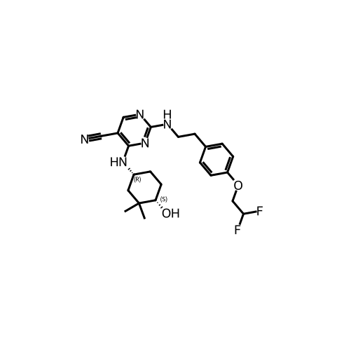 CC1(C)C[C@H](Nc2nc(NCCc3ccc(OCC(F)F)cc3)ncc2C#N)CC[C@@H]1O